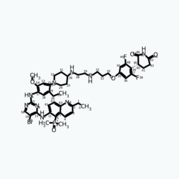 CCc1ccc2c(P(C)(C)=O)c(Nc3nc(Nc4cc(CC)c(N5CCC(NCCNCCCOc6cc(F)c([C@H]7CCC(=O)NC7=O)c(F)c6)CC5)cc4OC)ncc3Br)ccc2n1